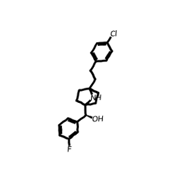 O[C@@H](c1cccc(F)c1)C12CCC(CCc3ccc(Cl)cc3)(CC1)N2